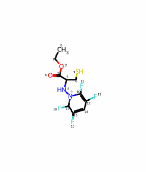 CCOC(=O)C(CS)NN1C(F)=C(F)C=C(F)C1F